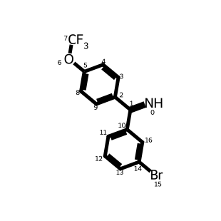 N=C(c1ccc(OC(F)(F)F)cc1)c1cccc(Br)c1